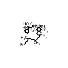 CC(=O)NC(Cc1c[nH]c2ccccc12)C(=O)O.Cc1c(C)c2c(c(C)c1O)CC[C@@](C)(CCCC(C)CCCC(C)CCCC(C)C)O2